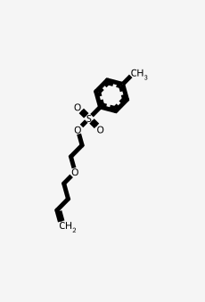 C=CCCOCCOS(=O)(=O)c1ccc(C)cc1